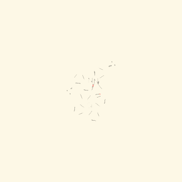 N#Cc1ccc2c(c1)c1ccccc1n2-c1cccc(C#N)c1-c1ccc([Si](c2ccccc2)(c2ccccc2)c2ccccc2)cc1C#N